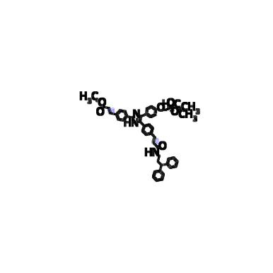 CCOC(=O)/C=C/c1ccc(-c2nc(-c3ccc(OCC(=O)OC(C)(C)C)cc3)c(-c3ccc(/C=C/C(=O)NCCC(c4ccccc4)c4ccccc4)cc3)[nH]2)cc1